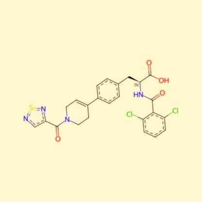 O=C(N[C@@H](Cc1ccc(C2=CCN(C(=O)c3cnsn3)CC2)cc1)C(=O)O)c1c(Cl)cccc1Cl